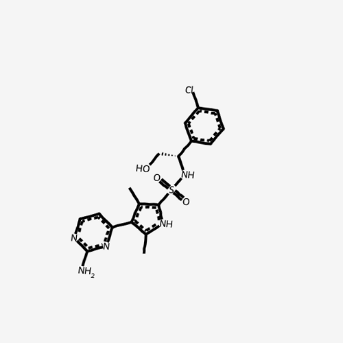 Cc1[nH]c(S(=O)(=O)N[C@H](CO)c2cccc(Cl)c2)c(C)c1-c1ccnc(N)n1